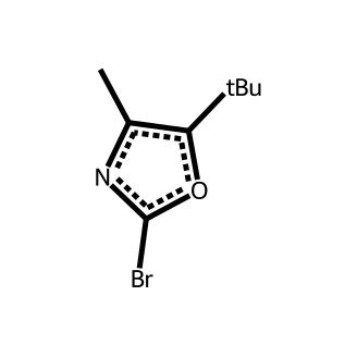 Cc1nc(Br)oc1C(C)(C)C